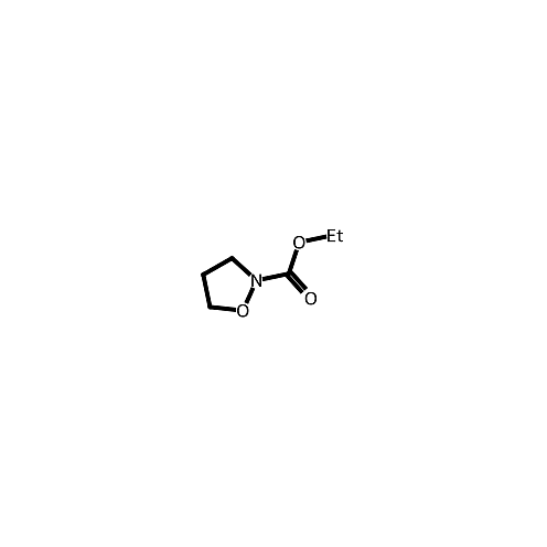 CCOC(=O)N1CCCO1